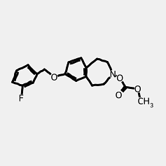 COC(=O)ON1CCc2ccc(OCc3cccc(F)c3)cc2CC1